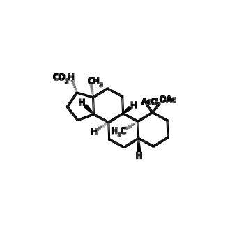 CC(=O)OC1(OC(C)=O)CCC[C@@H]2CC[C@H]3[C@@H]4CC[C@H](C(=O)O)[C@@]4(C)CC[C@@H]3[C@]21C